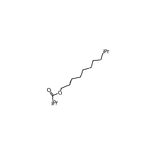 CC(C)CCCCCCCCOC(=O)C(C)C